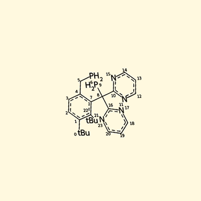 CC(C)(C)c1ccc(CP)c(C(P)(c2ncccn2)c2ncccn2)c1C(C)(C)C